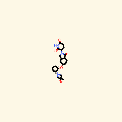 CC1(O)CN([C@@H]2CCC[C@H]2Oc2ccc3c(c2)CN(C2CCC(=O)NC2=O)C3=O)C1